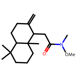 C=C1CCC2C(C)(C)CCCC2(C)C1CC(=O)N(C)OC